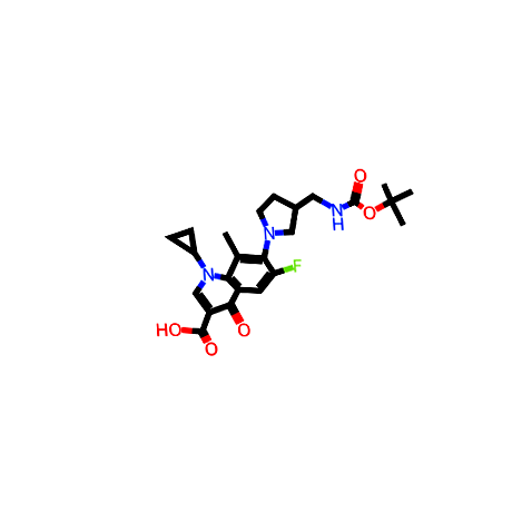 Cc1c(N2CCC(CNC(=O)OC(C)(C)C)C2)c(F)cc2c(=O)c(C(=O)O)cn(C3CC3)c12